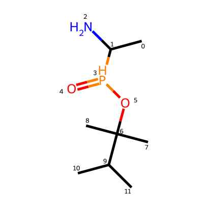 CC(N)[PH](=O)OC(C)(C)C(C)C